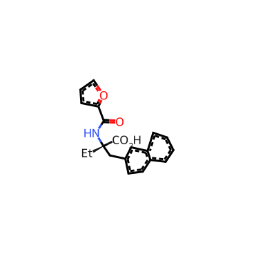 CC[C@@](Cc1ccc2ccccc2c1)(NC(=O)c1ccco1)C(=O)O